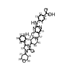 Cc1nc(Nc2ccc(C(=O)O)cc2)ncc1CN1CCC(N2C(=O)N(C3CCOCC3)CC2c2ccccc2)CC1